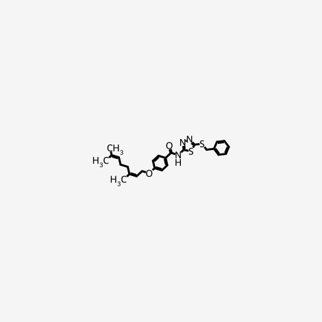 CC(C)=CCCC(C)=CCOc1ccc(C(=O)Nc2nnc(SCc3ccccc3)s2)cc1